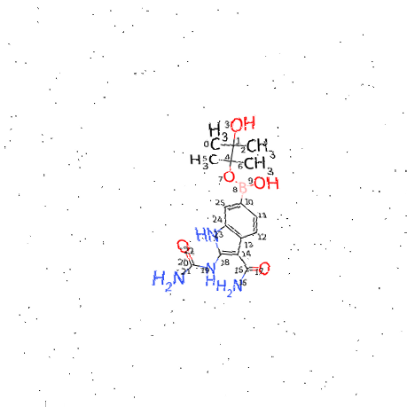 CC(C)(O)C(C)(C)OB(O)c1ccc2c(C(N)=O)c(NC(N)=O)[nH]c2c1